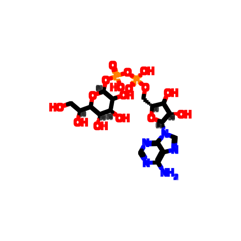 Nc1ncnc2c1ncn2[C@@H]1O[C@H](COP(=O)(O)OP(=O)(O)O[C@@H]2OC([C@@H](O)CO)[C@@H](O)[C@H](O)C2O)C(O)[C@@H]1O